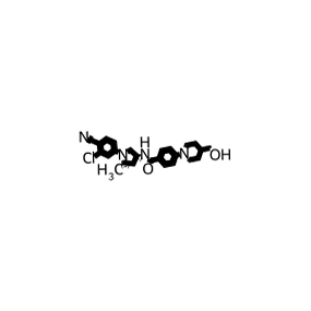 C[C@H]1C[C@@H](NC(=O)c2ccc(N3CCC(CO)CC3)cc2)CN1c1ccc(C#N)c(Cl)c1